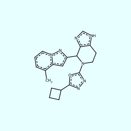 Cc1cccn2nc(C3c4nc[nH]c4CCN3c3nnc(C4CCC4)o3)cc12